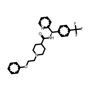 O=C(N[C@H](c1ccc(C(F)(F)F)cc1)c1ccccn1)C1CCN(CCOc2ccccc2)CC1